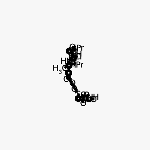 Cc1cc(Nc2ncc(Cl)c(Nc3ccccc3S(=O)(=O)C(C)C)n2)c(OC(C)C)cc1C1CCN(C(=O)CCOCCOCCSc2cccc3c2C(=O)N(C2CCC(=O)NC2=O)C3=O)CC1